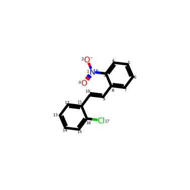 O=[N+]([O-])c1ccccc1C=Cc1ccccc1Cl